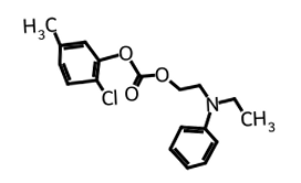 CCN(CCOC(=O)Oc1cc(C)ccc1Cl)c1ccccc1